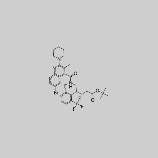 Cc1c(N2CCCCC2)nc2ccc(Br)cc2c1C(=O)NCC(CCC(=O)OC(C)(C)C)c1c(F)cccc1C(F)(F)F